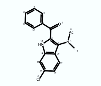 CC(=O)N(I)c1c(C(=O)c2ccccc2)[nH]c2cc(Cl)ccc12